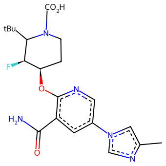 Cc1cn(-c2cnc(O[C@@H]3CCN(C(=O)O)C(C(C)(C)C)[C@@H]3F)c(C(N)=O)c2)cn1